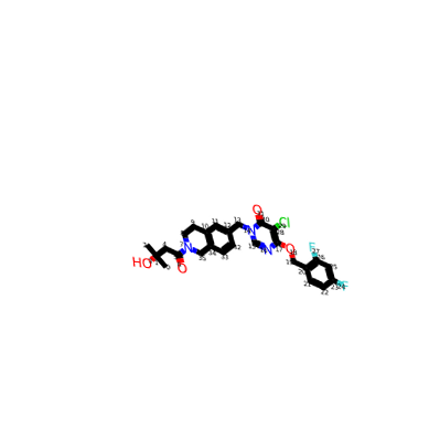 CC(C)(O)CC(=O)N1CCc2cc(Cn3cnc(OCc4ccc(F)cc4F)c(Cl)c3=O)ccc2C1